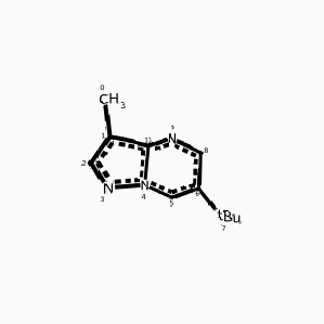 Cc1cnn2cc(C(C)(C)C)cnc12